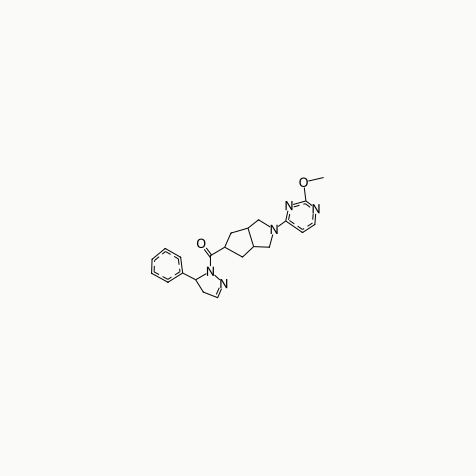 COc1nccc(N2CC3CC(C(=O)N4N=CCC4c4ccccc4)CC3C2)n1